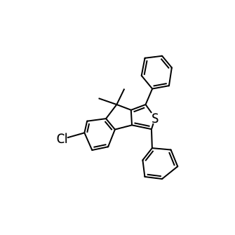 CC1(C)c2cc(Cl)ccc2-c2c(-c3ccccc3)sc(-c3ccccc3)c21